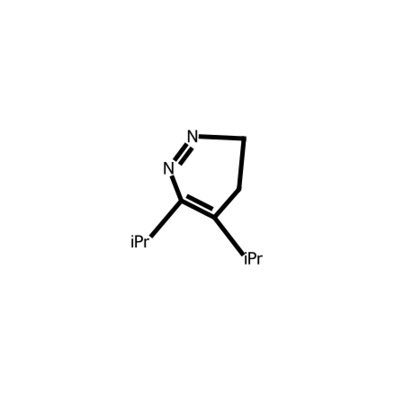 CC(C)C1=C(C(C)C)N=NCC1